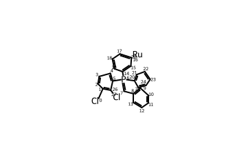 Clc1cccc(P(=Cc2ccccc2)(c2ccccc2)c2ccccc2)c1Cl.[Ru]